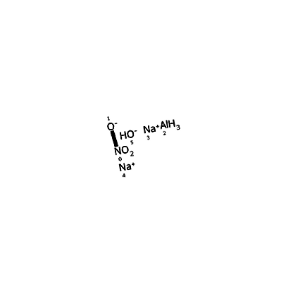 O=[N+]([O-])[O-].[AlH3].[Na+].[Na+].[OH-]